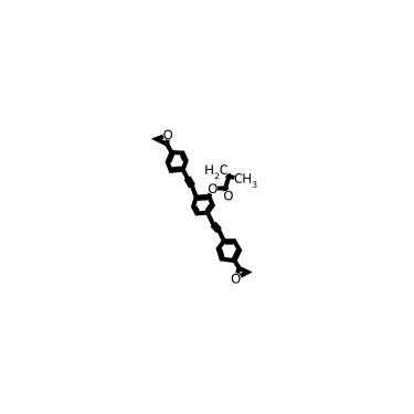 C=C(C)C(=O)Oc1cc(C#Cc2ccc(C3CO3)cc2)ccc1C#Cc1ccc(C2CO2)cc1